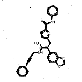 C[C@H](NCC#Cc1ccccc1)[C@@H](Cc1ccc(C(=O)Nc2ccccc2)o1)c1ccc2c(c1)OCO2